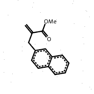 C=C(Cc1ccc2ccccc2c1)C(=O)OC